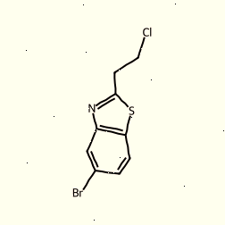 ClCCc1nc2cc(Br)ccc2s1